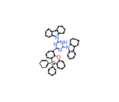 C1=CC([Si]2(c3ccccc3)c3ccccc3Oc3c(C4=NC(n5c6ccccc6c6ccccc65)NC(n5c6ccccc6c6ccccc65)=N4)cccc32)=CCC1